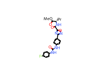 COC(=O)[C@@H](NC(=O)c1nc(-c2ccc(NC(=O)Nc3ccc(F)cc3)cc2)no1)C(C)C